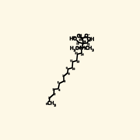 CCCCCCCCCCCCCCC[N+](C)(C)C(CO)(CO)C(=O)[O-]